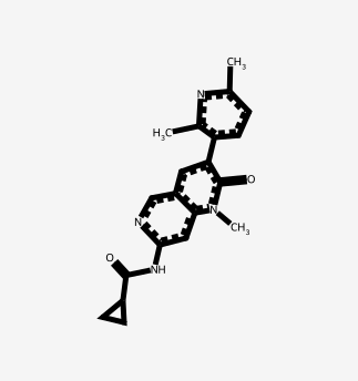 Cc1ccc(-c2cc3cnc(NC(=O)C4CC4)cc3n(C)c2=O)c(C)n1